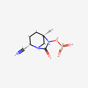 N#C[C@@H]1CC[C@@H]2CN1C(=O)N2O[SH](=O)=O